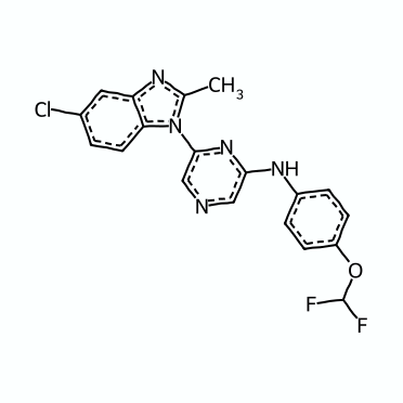 Cc1nc2cc(Cl)ccc2n1-c1cncc(Nc2ccc(OC(F)F)cc2)n1